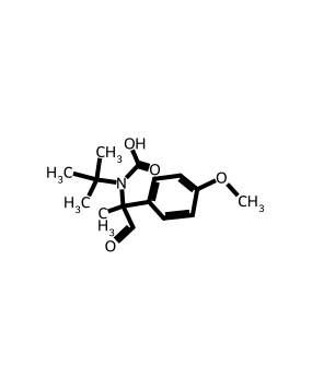 COc1ccc(C(C)(C=O)N(C(=O)O)C(C)(C)C)cc1